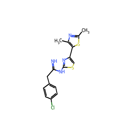 Cc1nc(C)c(-c2csc(NC(=N)Cc3ccc(Cl)cc3)n2)s1